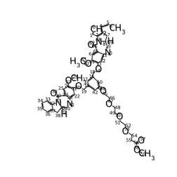 C=CC1=C(/C=C\C)C[C@H]2C=Nc3cc(OCc4cc(COc5cc6c(cc5OC)C(=O)N5c7ccccc7C[C@H]5C=N6)cc(OCCOCCOCCOCCC(=O)OC)c4)c(OC)cc3C(=O)N12